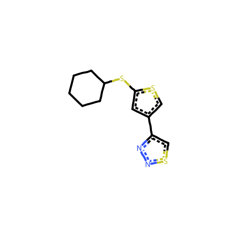 c1sc(SC2CCCCC2)cc1-c1csnn1